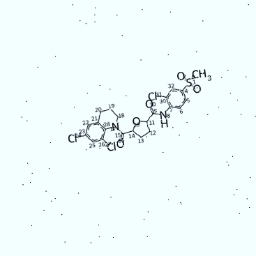 CS(=O)(=O)c1ccc(NC(=O)C2CCC(C(=O)N3CCCc4cc(Cl)cc(Cl)c43)O2)c(Cl)c1